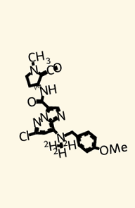 [2H]C([2H])([2H])N(Cc1ccc(OC)cc1)c1cc(Cl)nn2c(C(=O)N[C@@H]3CCN(C)C3=C=O)cnc12